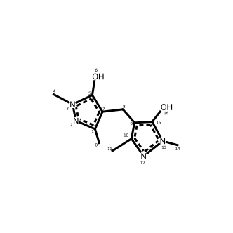 Cc1nn(C)c(O)c1Cc1c(C)nn(C)c1O